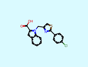 O=C(O)c1cc2ccccc2n1Cc1csc(-c2ccc(Cl)cc2)n1